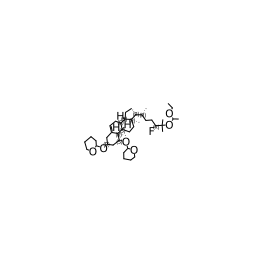 CCOC(C)OC(C)(C)[C@H](F)CC[C@@H](C)[C@H]1CC[C@H]2[C@@H]3CC=C4C[C@@H](OC5CCCCO5)C[C@H](OC5CCCCO5)[C@]4(C)[C@H]3CC[C@]12C